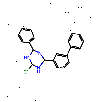 ClC1NC(c2ccccc2)NC(c2cccc(-c3ccccc3)c2)N1